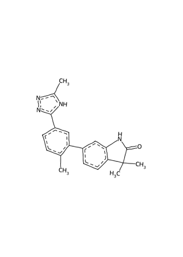 Cc1nnc(-c2ccc(C)c(-c3ccc4c(c3)NC(=O)C4(C)C)c2)[nH]1